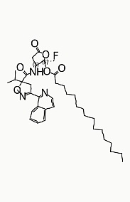 CCCCCCCCCCCCCCCC(=O)O[C@]1(CF)OC(=O)C[C@@H]1NC(=O)C1(C(C)C)CC(c2nccc3ccccc23)=NO1